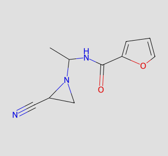 CC(NC(=O)c1ccco1)N1CC1C#N